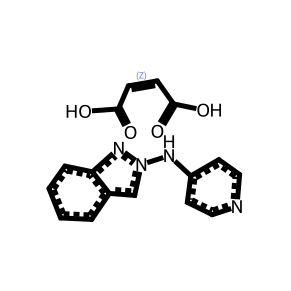 O=C(O)/C=C\C(=O)O.c1ccc2nn(Nc3ccncc3)cc2c1